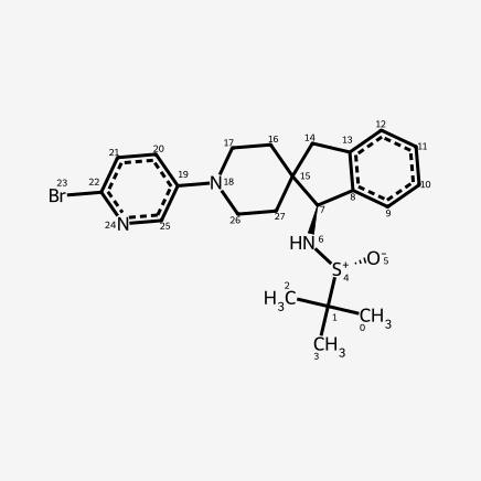 CC(C)(C)[S@@+]([O-])N[C@@H]1c2ccccc2CC12CCN(c1ccc(Br)nc1)CC2